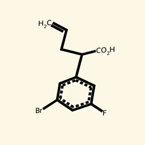 C=CCC(C(=O)O)c1cc(F)cc(Br)c1